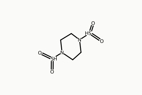 O=[SH](=O)N1CCN([SH](=O)=O)CC1